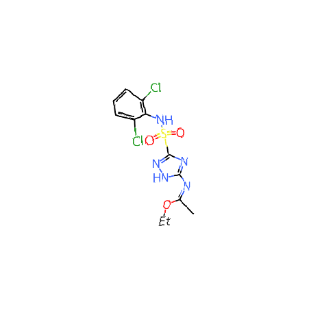 CCOC(C)=Nc1nc(S(=O)(=O)Nc2c(Cl)cccc2Cl)n[nH]1